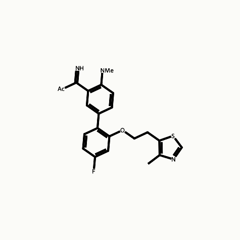 CNc1ccc(-c2ccc(F)cc2OCCc2scnc2C)cc1C(=N)C(C)=O